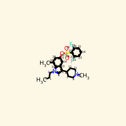 CCCn1cc(C2CCN(C)CC2)c2cc(OS(=O)(=O)c3c(F)cccc3F)cc(C)c21